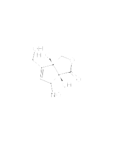 C[C@@]12COC(=O)[C@]1(C)C(N=O)C=C2CO